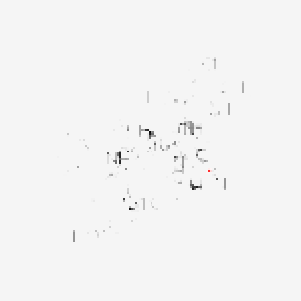 CCN1CC2(C#N)Cc3cc(C)c(OC)c(O)c3C1[C@@H]1[C@@H]3SC[C@]4(N[C@@H](CO)Cc5c4[nH]c4ccccc54)C(=O)OC[C@@H](c4c5c(c(C)c(OC(C)=O)c43)OCO5)N12